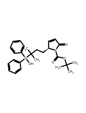 CC(C)(C)OC(=O)N1C(=O)C=C[C@@H]1CCC(C)(C)[Si](O)(c1ccccc1)c1ccccc1